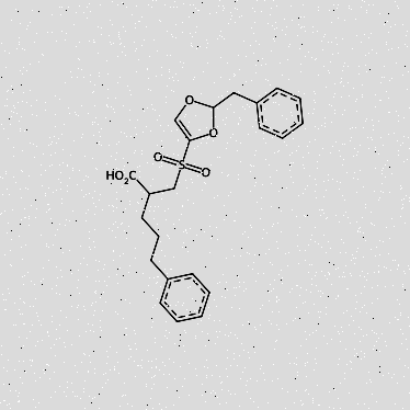 O=C(O)C(CCCc1ccccc1)CS(=O)(=O)C1=COC(Cc2ccccc2)O1